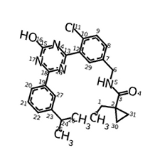 CCC1(C(=O)NCc2ccc(Cl)c(-c3nc(O)nc(-c4cccc(C(C)C)c4)n3)c2)CC1